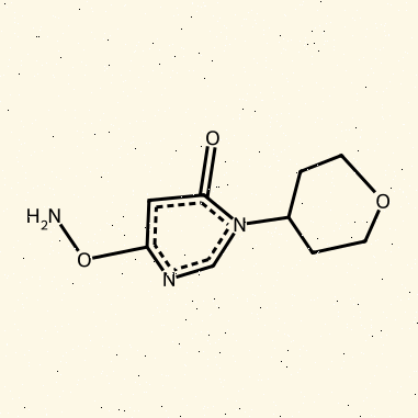 NOc1cc(=O)n(C2CCOCC2)cn1